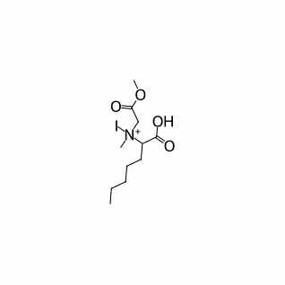 CCCCCC(C(=O)O)[N+](C)(I)CC(=O)OC